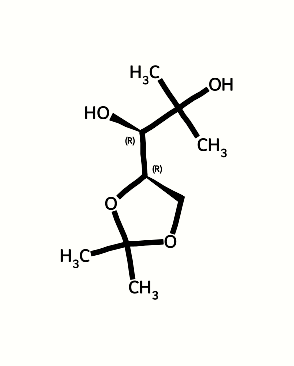 CC1(C)OC[C@H]([C@@H](O)C(C)(C)O)O1